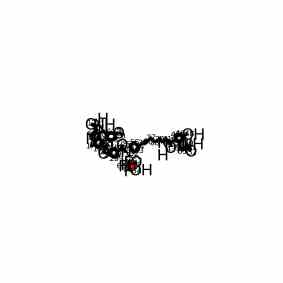 COc1cccc(Nc2c(C(N)=O)cnc3c(C)cc(S(=O)(=O)c4cccc(C(=O)Nc5ccc(C#CCCCNCC(O)c6ccc(O)c7[nH]c(=O)ccc67)cc5)c4)cc23)c1.O=C(O)C(F)(F)F